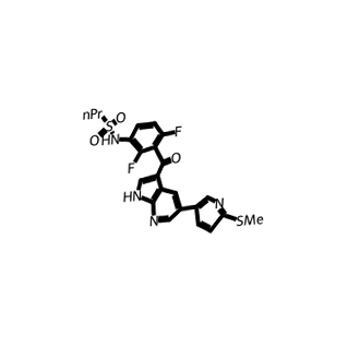 CCCS(=O)(=O)Nc1ccc(F)c(C(=O)c2c[nH]c3ncc(-c4ccc(SC)nc4)cc23)c1F